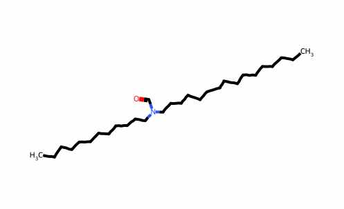 CCCCCCCCCCCCCCCCN(C=O)CCCCCCCCCCCC